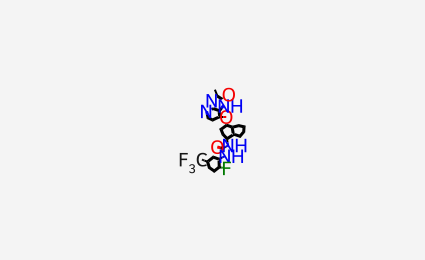 Cc1nc2nccc(Oc3ccc(NC(=O)Nc4cc(C(F)(F)F)ccc4F)c4ccccc34)c2[nH]c1=O